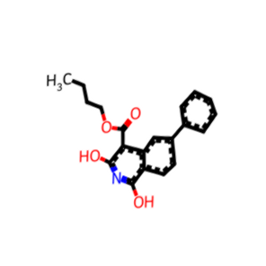 CCCCOC(=O)c1c(O)nc(O)c2ccc(-c3ccccc3)cc12